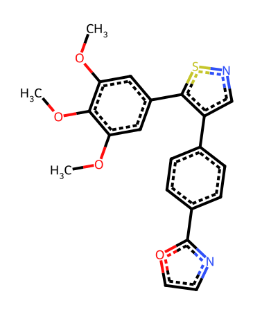 COc1cc(-c2sncc2-c2ccc(-c3ncco3)cc2)cc(OC)c1OC